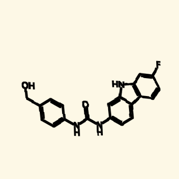 O=C(Nc1ccc(CO)cc1)Nc1ccc2c(c1)[nH]c1cc(F)ccc12